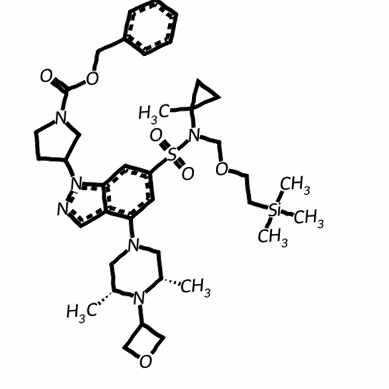 C[C@@H]1CN(c2cc(S(=O)(=O)N(COCC[Si](C)(C)C)C3(C)CC3)cc3c2cnn3C2CCN(C(=O)OCc3ccccc3)C2)C[C@H](C)N1C1COC1